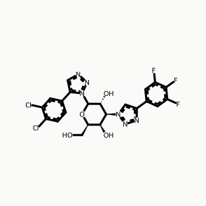 OC[C@H]1OC(n2nncc2-c2ccc(Cl)c(Cl)c2)[C@H](O)[C@@H](n2cc(-c3cc(F)c(F)c(F)c3)nn2)[C@H]1O